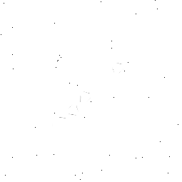 C/C=C/c1ccc(-c2ccc(C3CCC(CCc4ccc(OCC)c(F)c4F)CC3)c(F)c2F)cc1